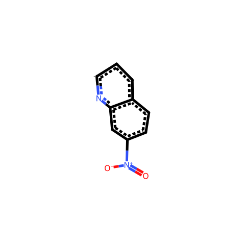 O=[N+]([O-])c1ccc2cc[c]nc2c1